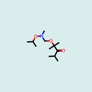 CC(C)ON(C)COC(C)(C)C(=O)C(C)C